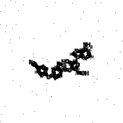 N#Cc1ccc(Oc2ccc3c(c2)COB3O[C@@H]2C(O)[C@H](n3cnc4c(N)ncnc43)O[C@@H]2CO)cc1